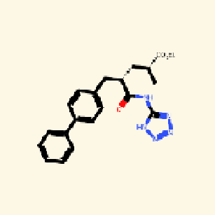 CCOC(=O)[C@H](C)C[C@@H](Cc1ccc(-c2ccccc2)cc1)C(=O)Nc1nnn[nH]1